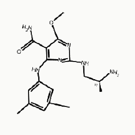 COc1nc(NC[C@H](C)N)nc(Nc2cc(C)cc(C)c2)c1C(N)=O